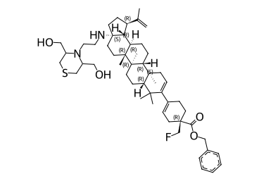 C=C(C)[C@@H]1CC[C@]2(NCCN3C(CO)CSCC3CO)CC[C@]3(C)[C@H](CC[C@@H]4[C@@]5(C)CC=C(C6=CC[C@@](CF)(C(=O)OCc7ccccc7)CC6)C(C)(C)[C@@H]5CC[C@]43C)[C@@H]12